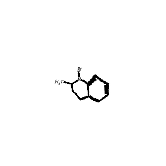 CC1CCc2ccccc2N1Br